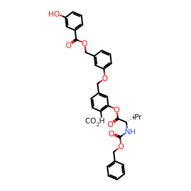 CC(C)[C@H](NC(=O)OCc1ccccc1)C(=O)Oc1cc(COc2cccc(COC(=O)c3cccc(O)c3)c2)ccc1C(=O)O